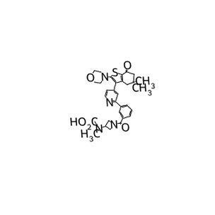 CN(C(=O)O)C1CN(C(=O)c2cccc(-c3cc(-c4c(N5CCOCC5)sc5c4CC(C)(C)CC5=O)ccn3)c2)C1